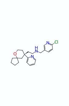 Clc1ccc(CNCC[C@]2(c3ccccn3)CCOC3(CCCC3)C2)cn1